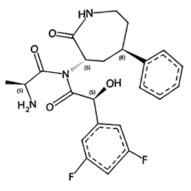 C[C@H](N)C(=O)N(C(=O)[C@@H](O)c1cc(F)cc(F)c1)[C@H]1C[C@H](c2ccccc2)CCNC1=O